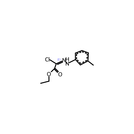 CCOC(=O)/C(Cl)=N\Nc1cccc(C)c1